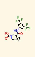 O=C(Nc1cc(C(F)(F)F)cc(C(F)(F)F)c1)[C@@H]1CN(C(=O)O)CCC12CC2